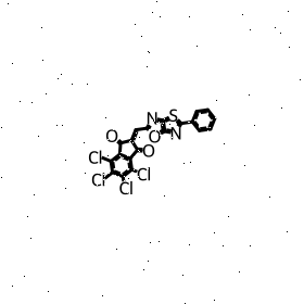 O=C1C(=Cc2nc3sc(-c4ccccc4)nc3o2)C(=O)c2c(Cl)c(Cl)c(Cl)c(Cl)c21